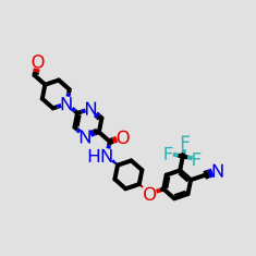 N#Cc1ccc(O[C@H]2CC[C@H](NC(=O)c3cnc(N4CCC(C=O)CC4)cn3)CC2)cc1C(F)(F)F